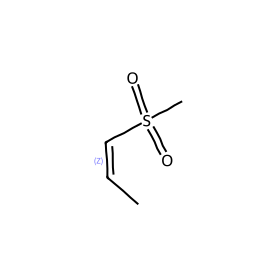 C/C=C\S(C)(=O)=O